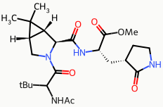 COC(=O)[C@H](C[C@@H]1CCNC1=O)NC(=O)[C@@H]1[C@@H]2[C@H](CN1C(=O)C(NC(C)=O)C(C)(C)C)C2(C)C